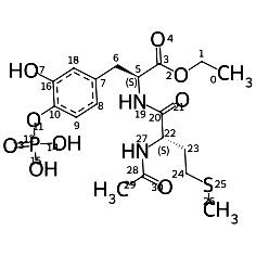 CCOC(=O)[C@H](Cc1ccc(OP(=O)(O)O)c(O)c1)NC(=O)[C@H](CCSC)NC(C)=O